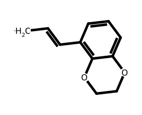 [CH2]C=Cc1cccc2c1OCCO2